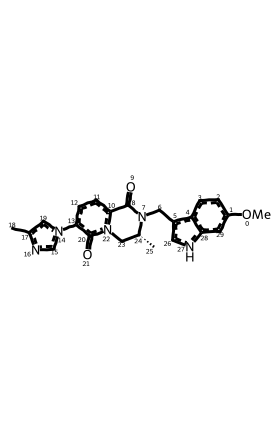 COc1ccc2c(CN3C(=O)c4ccc(-n5cnc(C)c5)c(=O)n4C[C@H]3C)c[nH]c2c1